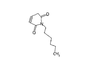 CCCCCCN1C(=O)C#CCC1=O